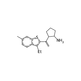 C=C(c1sc2cc(C)ccc2c1CC)C1CCCC1N